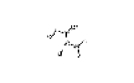 C=CC(=O)ON(C)C.Cl